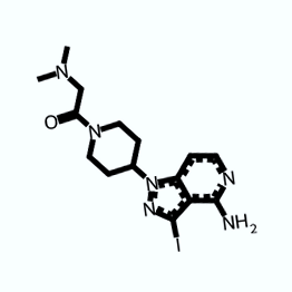 CN(C)CC(=O)N1CCC(n2nc(I)c3c(N)nccc32)CC1